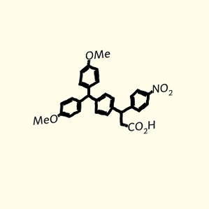 COc1ccc(C(c2ccc(OC)cc2)c2ccc(C(CC(=O)O)c3ccc([N+](=O)[O-])cc3)cc2)cc1